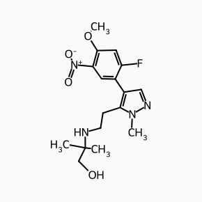 COc1cc(F)c(-c2cnn(C)c2CCNC(C)(C)CO)cc1[N+](=O)[O-]